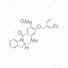 C=C/C(=C\CC)COc1cc2c(cc1OC)C(=O)N1c3ccccc3C[C@H]1CN2